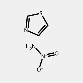 N[N+](=O)[O-].c1cscn1